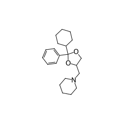 c1ccc(C2(C3CCCCC3)OCC(CN3CCCCC3)O2)cc1